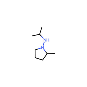 CC(C)NN1CCCC1C